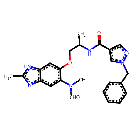 Cc1nc2cc(N(C)C=O)c(OC[C@@H](C)NC(=O)c3cnn(Cc4ccccc4)c3)cc2[nH]1